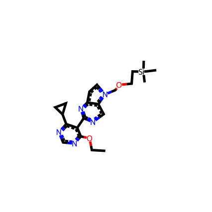 CCOc1ncnc(C2CC2)c1-c1ncc2c(ccn2COCC[Si](C)(C)C)n1